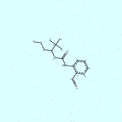 CCCC(OC(=O)Nc1cccnc1C=O)C(C)(C)C